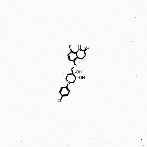 O=C1CCc2c(OC[C@]3(O)CCN(c4ccc(Cl)cc4)C[C@H]3O)ccc(F)c2N1